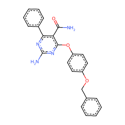 NC(=O)c1c(Oc2ccc(OCc3ccccc3)cc2)nc(N)nc1-c1ccccc1